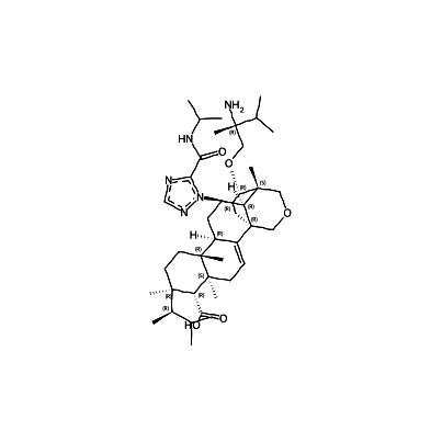 CC(C)NC(=O)c1ncnn1[C@@H]1C[C@@]23COC[C@](C)([C@@H]2CC[C@H]2C3=CC[C@@]3(C)[C@H](C(=O)O)[C@@](C)([C@H](C)C(C)C)CC[C@]23C)[C@H]1OC[C@](C)(N)C(C)C